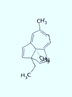 CCC12C=CC3=CC(C)=CC=C(N=C1)[C@]32C